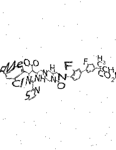 COC(=O)C1=C(CN2CCN3C(=O)N(c4ccc(-c5ccc(C(C)(C)C(=O)O)cc5F)cc4F)C[C@@H]3C2)NC(c2nccs2)=N[C@H]1c1ccc(F)cc1Cl